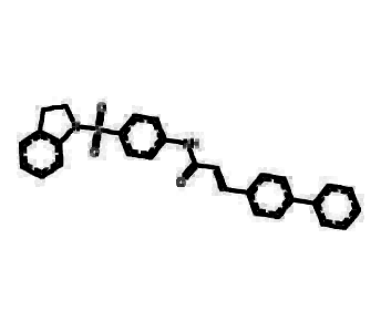 O=C(/C=C/c1ccc(-c2ccccc2)cc1)Nc1ccc(S(=O)(=O)N2CCc3ccccc32)cc1